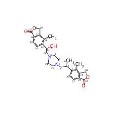 Cc1c(C(C)CN2CCN(CC(O)c3ccc4c(c3C)COC4=O)CC2)ccc2c1COC2=O